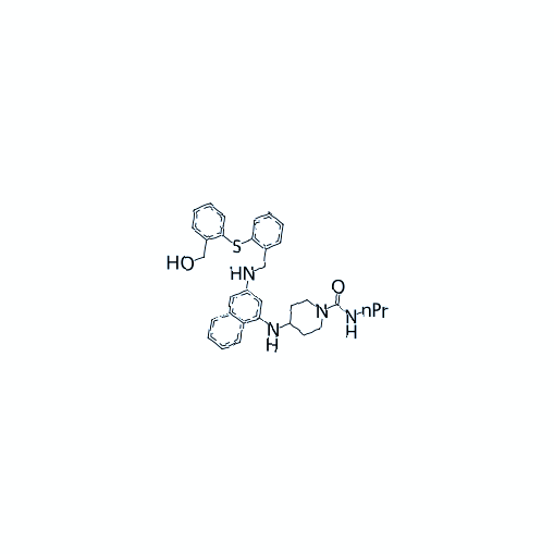 CCCNC(=O)N1CCC(Nc2cc(NCc3ccccc3Sc3ccccc3CO)cc3ccccc23)CC1